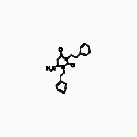 Nc1cc(=O)n(CCc2ccccc2)c(=O)n1CCc1ccccc1